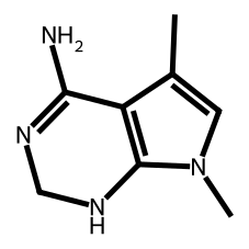 Cc1cn(C)c2c1C(N)=NCN2